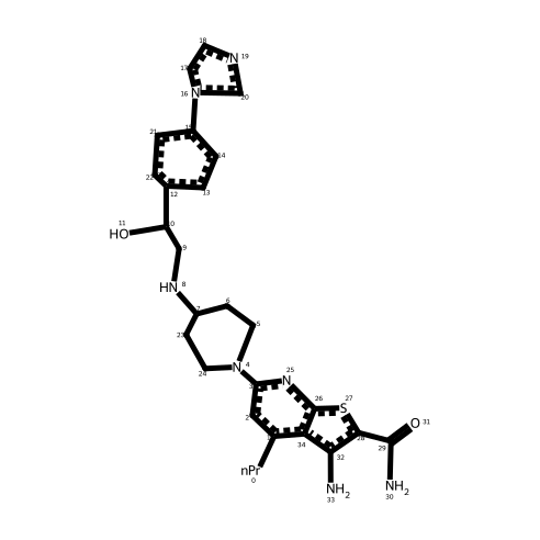 CCCc1cc(N2CCC(NCC(O)c3ccc(-n4ccnc4)cc3)CC2)nc2sc(C(N)=O)c(N)c12